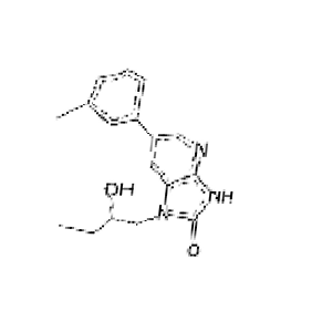 CCC(O)Cn1c(=O)[nH]c2ncc(-c3cccc(C)c3)cc21